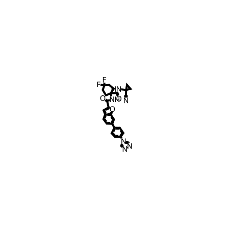 N#CC1(NC(=O)C2(NC(=O)c3cc4ccc(-c5ccc(-n6cnnc6)cc5)cc4o3)CCC(F)(F)CC2)CC1